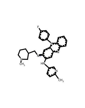 Cc1ccc(Nc2cc3nc4ccccc4n(-c4ccc(F)cc4)c-3c/c2=N\CC2CCCN(C)C2)cn1